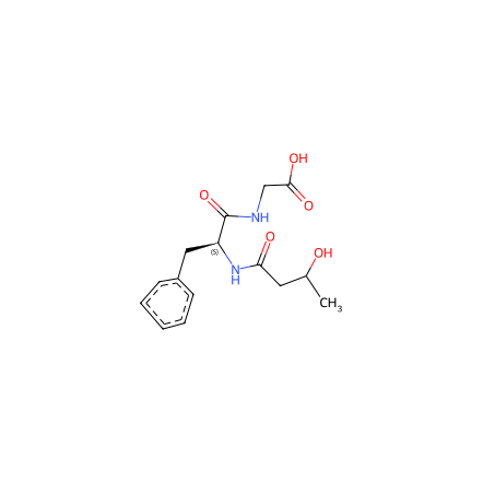 CC(O)CC(=O)N[C@@H](Cc1ccccc1)C(=O)NCC(=O)O